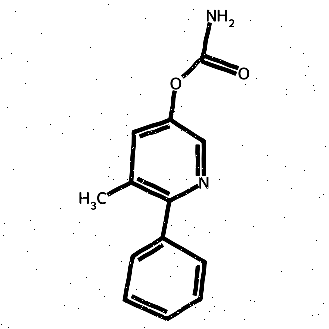 Cc1cc(OC(N)=O)cnc1-c1ccccc1